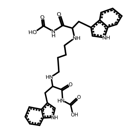 O=C(O)NC(=O)C(Cc1c[nH]c2ccccc12)NCCCCNC(Cc1c[nH]c2ccccc12)C(=O)NC(=O)O